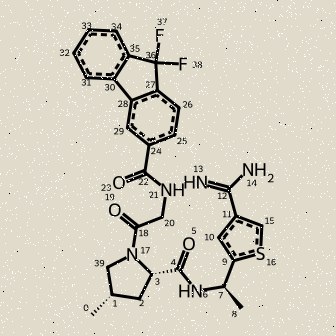 C[C@H]1C[C@@H](C(=O)N[C@H](C)c2cc(C(=N)N)cs2)N(C(=O)CNC(=O)c2ccc3c(c2)-c2ccccc2C3(F)F)C1